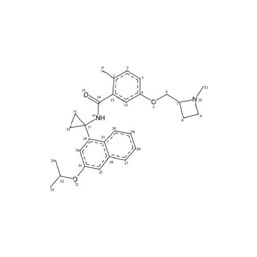 Cc1ccc(OCC2CCN2C)cc1C(=O)NC1(c2cc(OC(C)C)cc3ccccc23)CC1